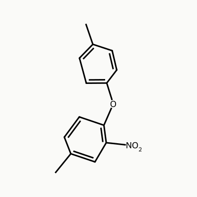 Cc1ccc(Oc2ccc(C)cc2[N+](=O)[O-])cc1